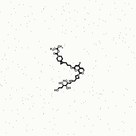 C=C(/C=C(F)\C(=C\F)CC(=O)N1CC(CNC[C@H](O)[C@@H](O)[C@H](O)CCO)C1)OCCCC1CC12CCN(C(=O)OC(C)C)CC2